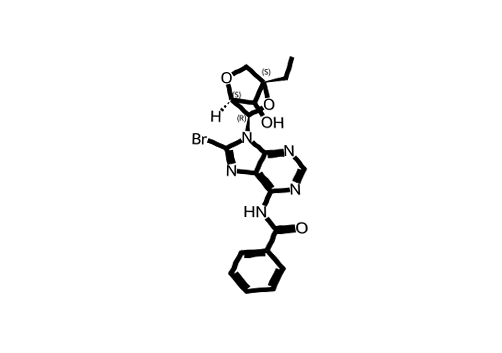 CC[C@]12CO[C@@H](C1O)[C@H](n1c(Br)nc3c(NC(=O)c4ccccc4)ncnc31)O2